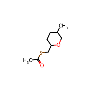 CC(=O)SCC1CCC(C)CO1